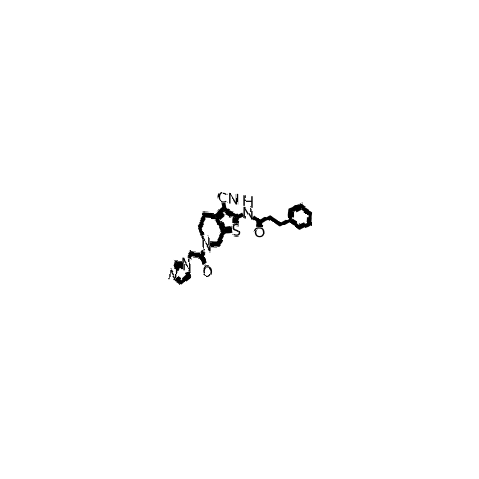 N#Cc1c(NC(=O)CCc2ccccc2)sc2c1CCN(C(=O)Cn1ccnc1)C2